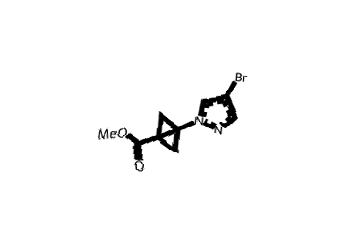 COC(=O)C12CC1(n1cc(Br)cn1)C2